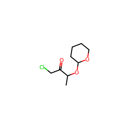 CC(OC1CCCCO1)C(=O)CCl